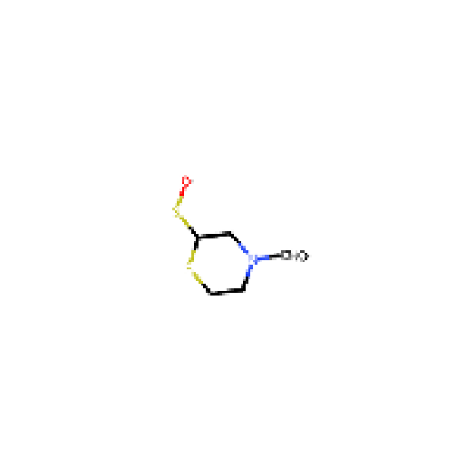 [O]SC1CN([C]=O)CCS1